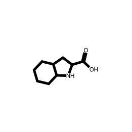 O=C(O)[C]1CC2CCCCC2N1